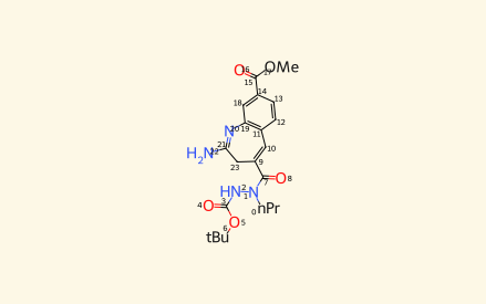 CCCN(NC(=O)OC(C)(C)C)C(=O)C1=Cc2ccc(C(=O)OC)cc2N=C(N)C1